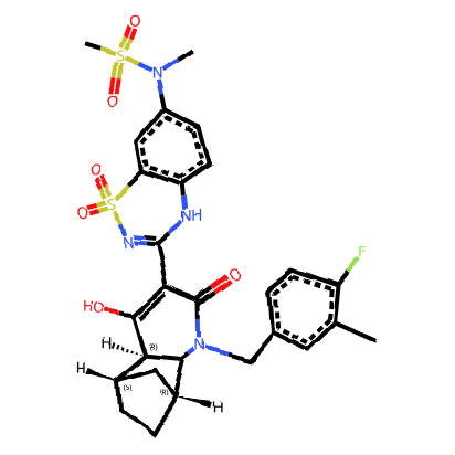 Cc1cc(CN2C(=O)C(C3=NS(=O)(=O)c4cc(N(C)S(C)(=O)=O)ccc4N3)=C(O)[C@H]3C2[C@@H]2CC[C@H]3C2)ccc1F